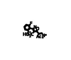 CC(=O)/C(=C\N(C)C)c1onc(-c2c(F)cccc2Cl)c1C(=O)O